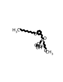 CCCCCCCCCCOc1cccc(CCC(=O)N(CCCCCOC)CCOP(=O)(O)O)c1